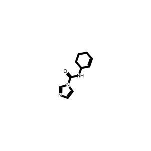 O=C(NC1C=CCCC1)n1ccnc1